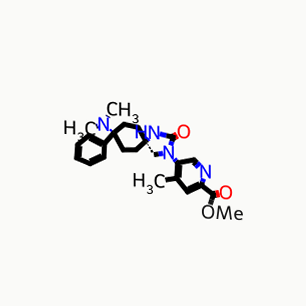 COC(=O)c1cc(C)c(N2C[C@]3(CC[C@@](c4ccccc4)(N(C)C)CC3)NC2=O)cn1